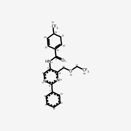 O=C(Nc1cnc(-c2ccccc2)nc1COCC(F)(F)F)C1=CCC(C(F)(F)F)C=C1